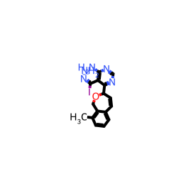 Cc1cccc2c1COC(c1ncnc(N)c1/C(I)=N\N)C=C2